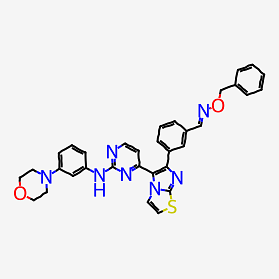 C(=N\OCc1ccccc1)/c1cccc(-c2nc3sccn3c2-c2ccnc(Nc3cccc(N4CCOCC4)c3)n2)c1